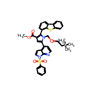 COC(=O)c1cc(-c2ccnc3c2ccn3S(=O)(=O)c2ccccc2)n(COCC[Si](C)(C)C)c1-c1cccc2c1sc1ccccc12